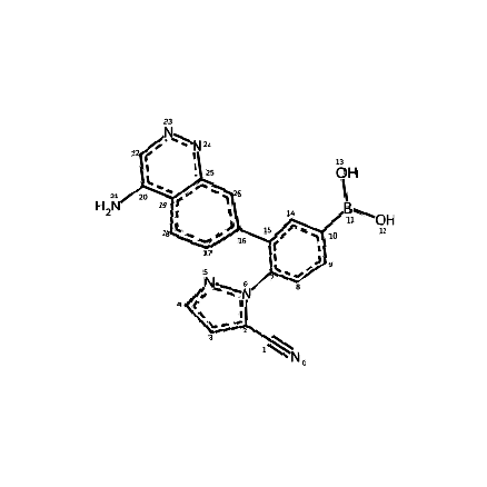 N#Cc1ccnn1-c1ccc(B(O)O)cc1-c1ccc2c(N)cnnc2c1